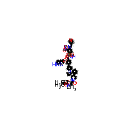 CN(CCC(=O)N1CCC(c2ccccc2[C@H]2CCCN2c2ccc(-c3ccc(C(=O)NS(=O)(=O)c4ccc(NCC5CCOCC5)c([N+](=O)[O-])c4)c(Oc4cnc5[nH]ccc5c4)c3)cc2)CC1)C(=O)OC(C)(C)C